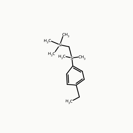 CCc1ccc([Si](C)(C)C[Si](C)(C)C)cc1